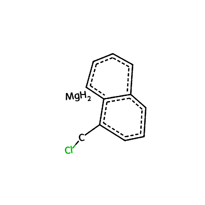 ClCc1cccc2ccccc12.[MgH2]